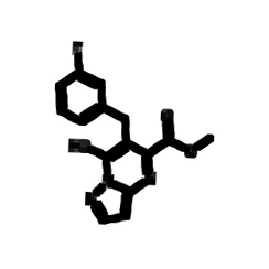 COC(=O)c1nc2ccnn2c(O)c1Cc1cccc(F)c1